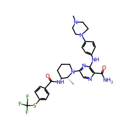 C[C@@H]1[C@H](NC(=O)c2ccc(SC(F)(F)F)cc2)CCCN1c1cnc(C(N)=O)c(Nc2ccc(N3CCN(C)CC3)cc2)n1